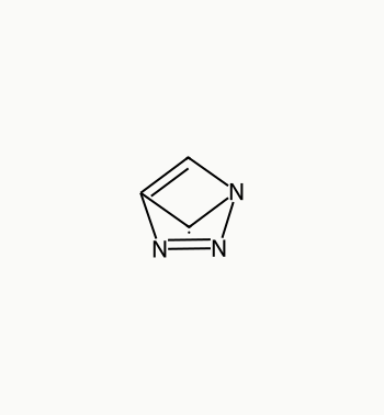 [CH]1c2cn1nn2